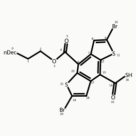 CCCCCCCCCCCCOC(=O)c1c2cc(Br)sc2c(C(=O)S)c2cc(Br)sc12